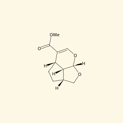 COC(=O)C1=CO[C@@H]2OC[C@@H]3CC[C@H]1[C@@H]32